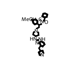 COc1ccc(C(CCN2CCC(Nc3nc4c(Cc5ccncc5)cccc4[nH]3)CC2)CN(C)C(=O)c2ccccc2)cc1